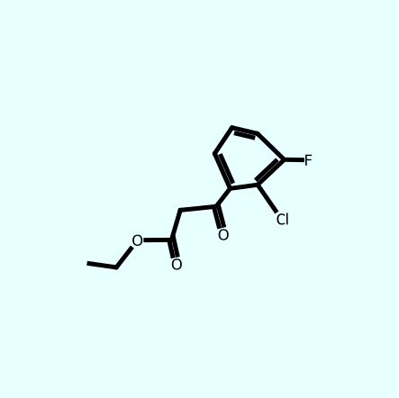 CCOC(=O)CC(=O)c1cccc(F)c1Cl